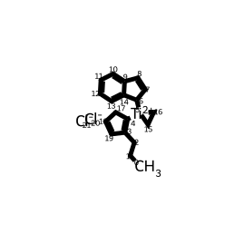 CCCC1=[C]([Ti+2]2([CH]3C=Cc4ccccc43)[CH2][CH2]2)CC=C1.[Cl-].[Cl-]